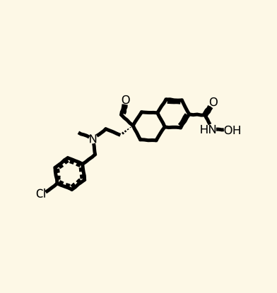 CN(CC[C@@]1(C=O)CCC2C=C(C(=O)NO)C=CC2C1)Cc1ccc(Cl)cc1